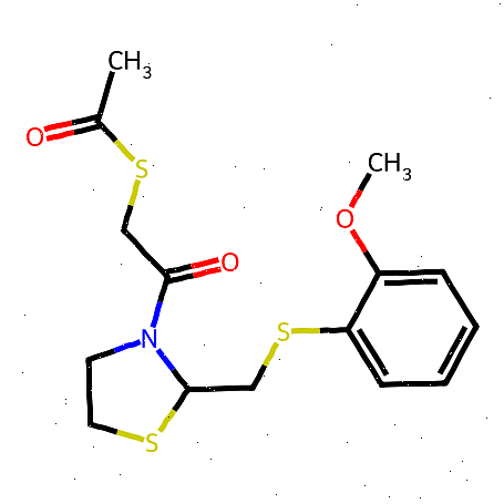 COc1ccccc1SCC1SCCN1C(=O)CSC(C)=O